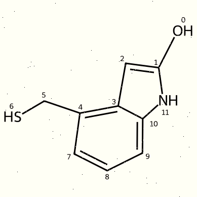 Oc1cc2c(CS)cccc2[nH]1